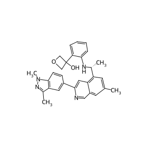 Cc1cc([C@@H](C)Nc2ccccc2C2(O)COC2)c2cc(-c3ccc4c(c3)c(C)nn4C)ncc2c1